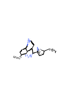 CCCC1C[N@@]2CCC1CC2C(N)c1ccnc2ccc(OC)cc12